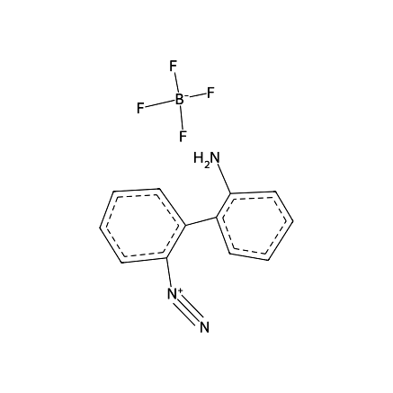 F[B-](F)(F)F.N#[N+]c1ccccc1-c1ccccc1N